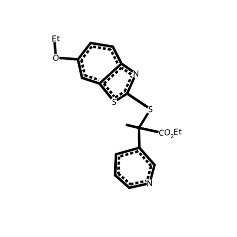 CCOC(=O)C(C)(Sc1nc2ccc(OCC)cc2s1)c1cccnc1